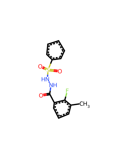 Cc1cccc(C(=O)NNS(=O)(=O)c2ccccc2)c1F